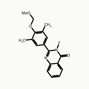 COCOc1c(C)cc(-c2nc3ccccc3c(=O)n2F)cc1C